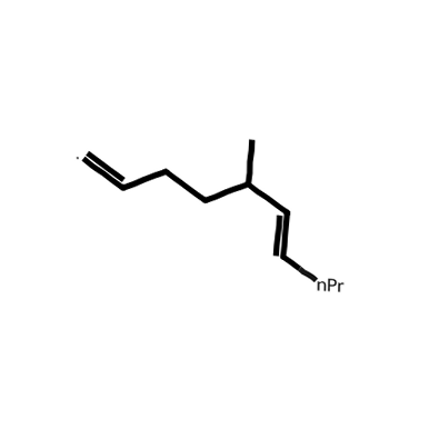 [CH]=CCCC(C)C=CCCC